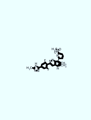 Cc1nnc(-c2cc(F)c(-c3cc4c(nn3)[C@]3(c5cccc(S(C)(=O)=O)n5)CC[C@@H]4C3(C)C)c(F)c2)[nH]1